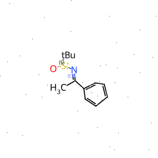 C/C(=N\[S@+]([O-])C(C)(C)C)c1ccccc1